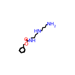 NCCCCNCCCCNC(=O)OCc1ccccc1